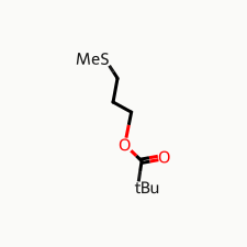 CSCCCOC(=O)C(C)(C)C